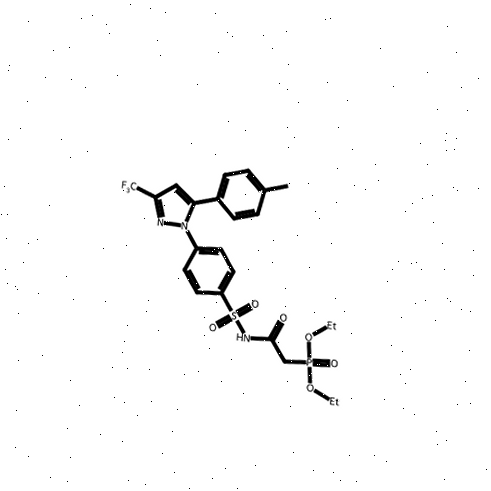 CCOP(=O)(CC(=O)NS(=O)(=O)c1ccc(-n2nc(C(F)(F)F)cc2-c2ccc(C)cc2)cc1)OCC